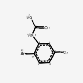 O=C(O)Nc1cc(Cl)ccc1Br